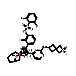 BC(B)(B)N1CC2CCC(C1)N2c1nc(-c2cccc(NS(=O)(=O)c3c(F)cccc3F)c2F)c(-c2ccnc(NC3CC4(C3)CS(=O)(=O)C4)n2)s1